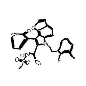 Cc1cccc(Cn2c(C(=O)NS(C)(=O)=O)c(-c3ccc[nH]c3=O)c3c4occc4ccc32)c1F